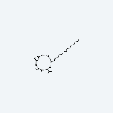 CCCCCCCC(=O)SCCC/C=C/C1CC(=O)NCc2nc(cs2)C2=C[C@@H](CS2)C(=O)NC(C(C)C)C(=O)O1